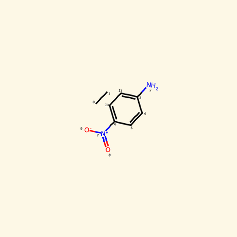 CC.Nc1ccc([N+](=O)[O-])cc1